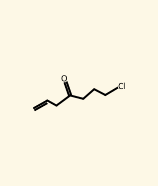 C=CCC(=O)CCCCl